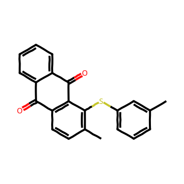 Cc1cccc(Sc2c(C)ccc3c2C(=O)c2ccccc2C3=O)c1